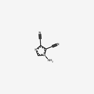 N#Cc1ncn(N)c1C#N